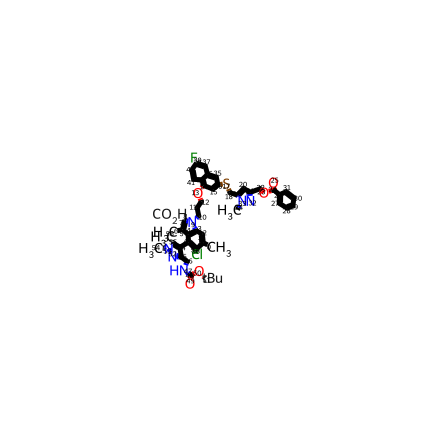 Cc1cc2c(c(C)c(C(=O)O)n2CCCOc2cc(SCc3cc(COC(=O)c4ccccc4)nn3C)cc3cc(F)ccc23)c(-c2c(CNC(=O)OC(C)(C)C)nn(C)c2C)c1Cl